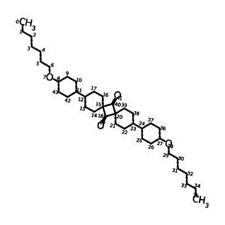 CCCCCCCOC1CCC(C2CCC3(CC2)C(=O)C2(CCC(C4CCC(OCCCCCCC)CC4)CC2)C3=O)CC1